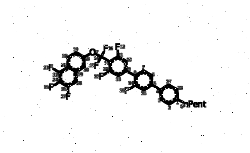 CCCCCc1ccc(-c2ccc(-c3cc(F)c(C(F)(F)Oc4ccc5c(F)c(F)c(F)cc5c4)c(F)c3)c(F)c2)cc1